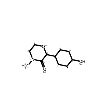 CN1CCOC(C2CCC(O)CC2)C1=O